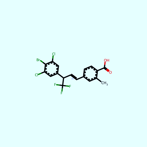 Cc1cc(/C=C/C(c2cc(Cl)c(Br)c(Cl)c2)C(F)(F)F)ccc1C(=O)O